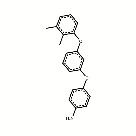 Cc1cccc(Oc2cccc(Oc3ccc(N)cc3)c2)c1C